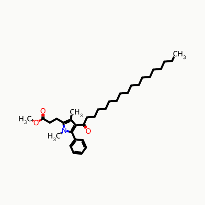 CCCCCCCCCCCCCCCCCC(=O)c1c(C)c(CCC(=O)OC)n(C)c1-c1ccccc1